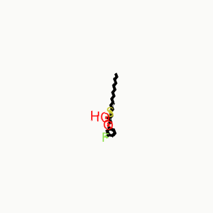 CCCCCCCCCCCCSCC(O)COc1cccc(F)c1